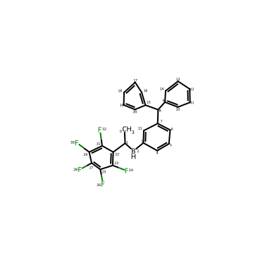 CC(Bc1cccc(C(c2ccccc2)c2ccccc2)c1)c1c(F)c(F)c(F)c(F)c1F